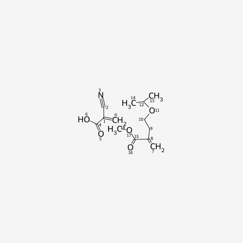 C=C(C#N)C(=O)O.C=C(CCOC(C)C)C(=O)OC